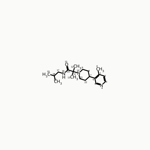 Cc1ccncc1C1CCN(C(C)(C)C(=O)NCC(C)C)CC1